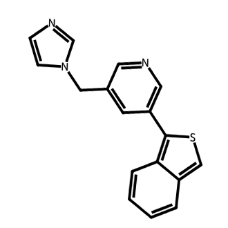 c1ccc2c(-c3cncc(Cn4ccnc4)c3)scc2c1